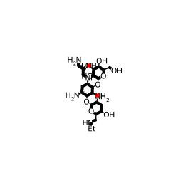 CCNC[C@H]1O[C@H](O[C@H]2[C@H](O)[C@@H](O[C@H]3O[C@H](CO)[C@@H](O)[C@H](N)[C@H]3O)[C@H](NCC(O)CN)C[C@@H]2N)[C@H](N)C[C@@H]1O